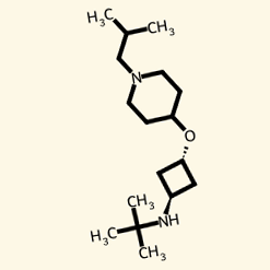 CC(C)CN1CCC(O[C@H]2C[C@H](NC(C)(C)C)C2)CC1